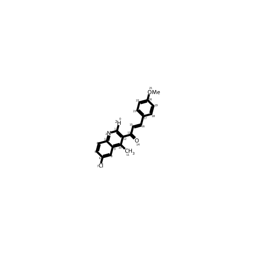 [2H]c1nc2ccc(Cl)cc2c(C)c1C(=O)/C=C/c1ccc(OC)cc1